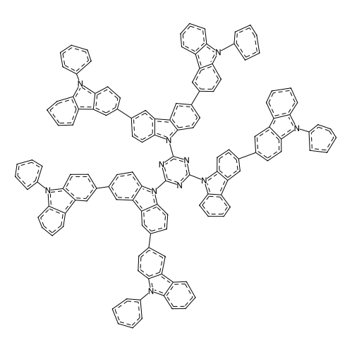 c1ccc(-n2c3ccccc3c3cc(-c4ccc5c(c4)c4ccccc4n5-c4nc(-n5c6ccc(-c7ccc8c(c7)c7ccccc7n8-c7ccccc7)cc6c6cc(-c7ccc8c(c7)c7ccccc7n8-c7ccccc7)ccc65)nc(-n5c6ccc(-c7ccc8c(c7)c7ccccc7n8-c7ccccc7)cc6c6cc(-c7ccc8c(c7)c7ccccc7n8-c7ccccc7)ccc65)n4)ccc32)cc1